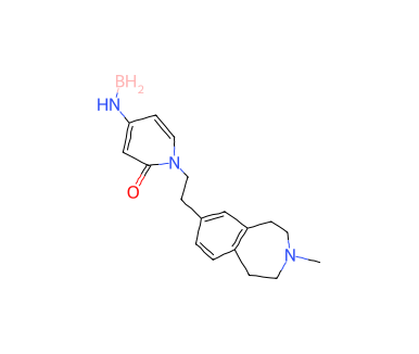 BNc1ccn(CCc2ccc3c(c2)CCN(C)CC3)c(=O)c1